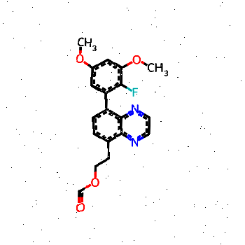 COc1cc(OC)c(F)c(-c2ccc(CCOC=O)c3nccnc23)c1